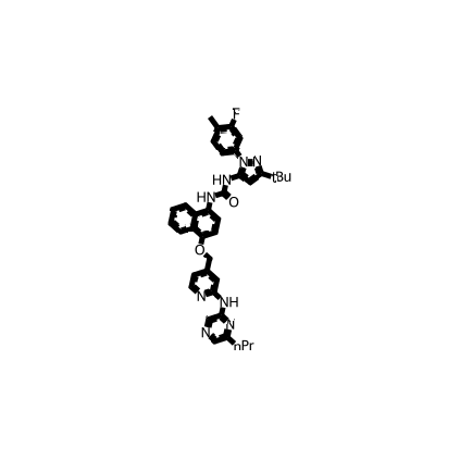 CCCc1cncc(Nc2cc(COc3ccc(NC(=O)Nc4cc(C(C)(C)C)nn4-c4ccc(C)c(F)c4)c4ccccc34)ccn2)n1